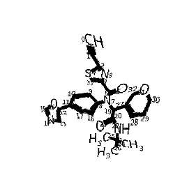 C#Cc1nc(C(=O)N(c2ccc(-c3cnco3)cc2)C(C(=O)NC(C)(C)C)C2=CCCOC2)cs1